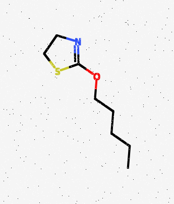 CCCCCOC1=NCCS1